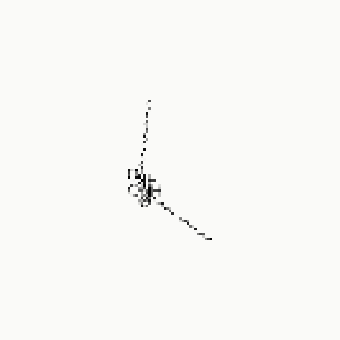 CCCCCCCCCCCCCCCC(=O)NC1CCCCC1NC(=O)CCCCCCCCCCCCCCC